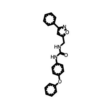 O=C(NCc1cc(-c2ccccc2)no1)Nc1ccc(Oc2ccccc2)cc1